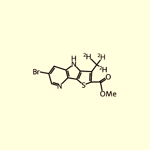 [2H]C([2H])([2H])c1c(C(=O)OC)sc2c1[nH]c1cc(Br)cnc12